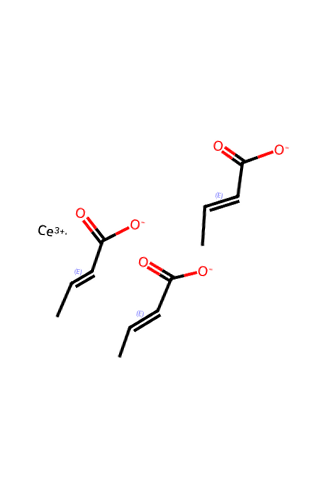 C/C=C/C(=O)[O-].C/C=C/C(=O)[O-].C/C=C/C(=O)[O-].[Ce+3]